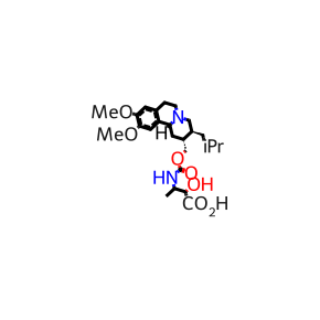 COc1cc2c(cc1OC)[C@H]1C[C@@H](COC(=O)NC(C)C(O)C(=O)O)[C@H](CC(C)C)CN1CC2